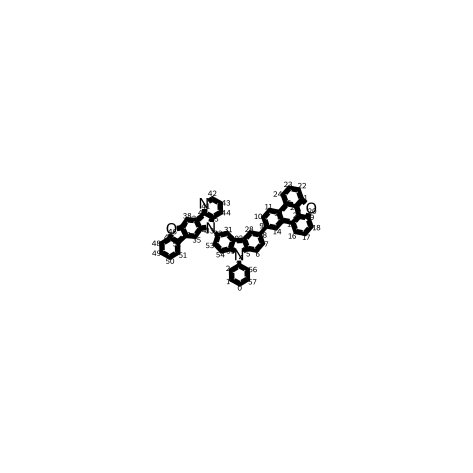 c1ccc(-n2c3ccc(-c4ccc5c(c4)c4cccc6oc7cccc5c7c64)cc3c3cc(-n4c5cc6c(cc5c5ncccc54)oc4ccccc46)ccc32)cc1